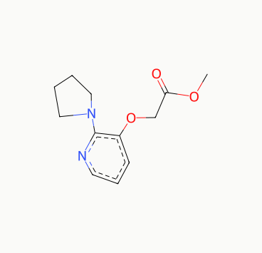 COC(=O)COc1cccnc1N1CCCC1